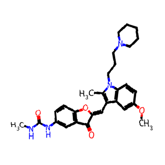 CNC(=O)Nc1ccc2c(c1)C(=O)/C(=C/c1c(C)n(CCCN3CCCCC3)c3ccc(OC)cc13)O2